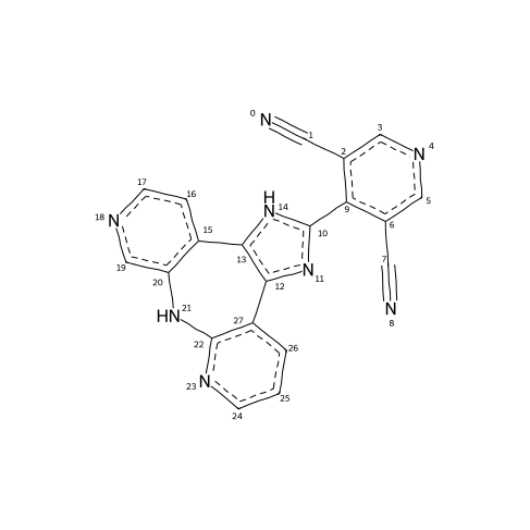 N#Cc1cncc(C#N)c1-c1nc2c([nH]1)-c1ccncc1Nc1ncccc1-2